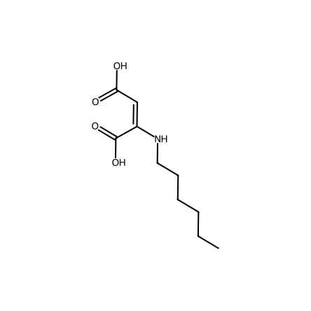 CCCCCCN/C(=C/C(=O)O)C(=O)O